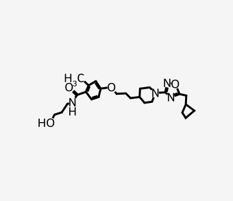 Cc1cc(OCCCC2CCN(c3noc(CC4CCC4)n3)CC2)ccc1C(=O)NCCCO